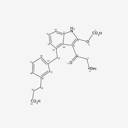 CCCCCCCCCCCC(=O)c1c(OC(=O)O)[nH]c2cccc(Cc3cccc(CCC(=O)O)c3)c12